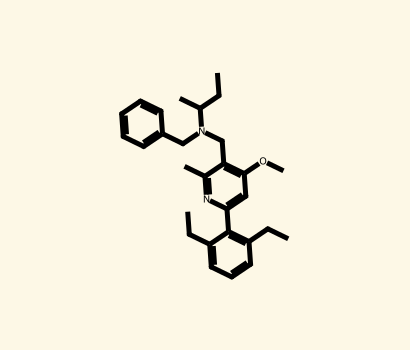 CCc1cccc(CC)c1-c1cc(OC)c(CN(Cc2ccccc2)C(C)CC)c(C)n1